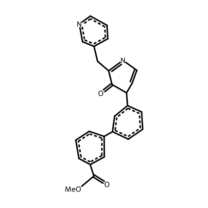 COC(=O)c1cccc(-c2cccc(C3C=CN=C(Cc4cccnc4)C3=O)c2)c1